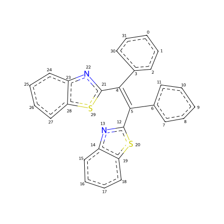 c1ccc(C(=C(c2ccccc2)c2nc3ccccc3s2)c2nc3ccccc3s2)cc1